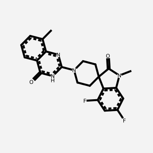 Cc1cccc2c(=O)[nH]c(N3CCC4(CC3)C(=O)N(C)c3cc(F)cc(F)c34)nc12